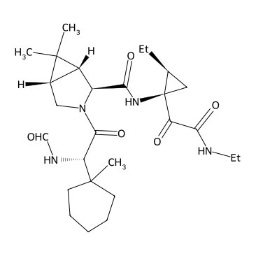 CCNC(=O)C(=O)[C@@]1(NC(=O)[C@@H]2[C@@H]3[C@H](CN2C(=O)[C@@H](NC=O)C2(C)CCCCC2)C3(C)C)C[C@@H]1CC